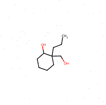 CCCC1(CO)CCCCC1O